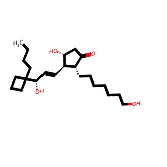 CCCCC1([C@@H](O)/C=C/[C@H]2[C@H](O)CC(=O)[C@@H]2CCCCCCCO)CCC1